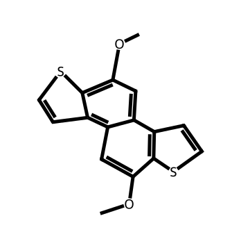 COc1cc2c3ccsc3c(OC)cc2c2ccsc12